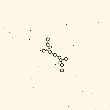 c1ccc(-c2ccc3c(c2)oc2c4cc(-c5ccc(-c6ccc7c(c6)c6oc8cc(-c9ccccc9)ccc8c6n7-c6ccccc6)cc5)ccc4n(-c4ccccc4)c32)cc1